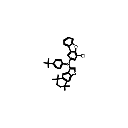 CC(C)(C)c1ccc(N(c2cc(Cl)c3oc4ccccc4c3c2)c2csc3cc4c(cc23)C(C)(C)CCC4(C)C)cc1